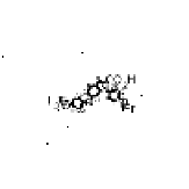 CC(C)Oc1ccc(-n2c(C(=O)O)cc3ccc(Oc4ccc(OC(F)(F)F)cc4)cc32)cc1